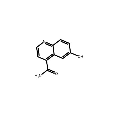 NC(=O)c1ccnc2ccc(O)cc12